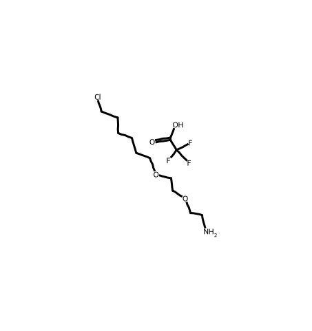 NCCOCCOCCCCCCCl.O=C(O)C(F)(F)F